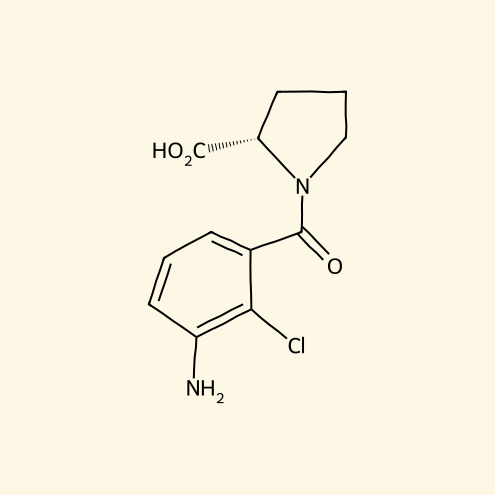 Nc1cccc(C(=O)N2CCC[C@H]2C(=O)O)c1Cl